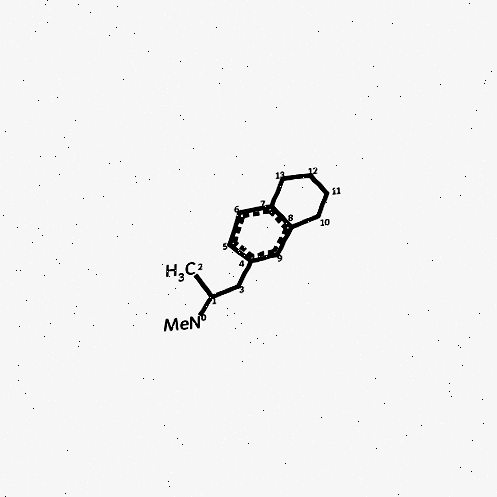 CNC(C)Cc1ccc2c(c1)CCCC2